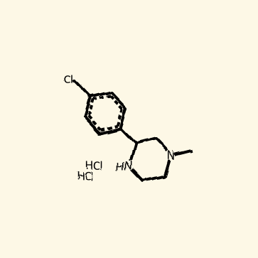 CN1CCNC(c2ccc(Cl)cc2)C1.Cl.Cl